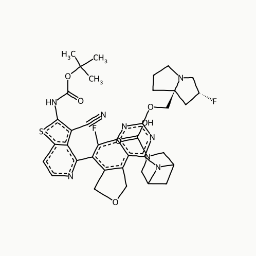 CC(C)(C)OC(=O)Nc1sc2ccnc(-c3c4c(c5c(N6C7CC6CN(C(=O)O)C7)nc(OC[C@@]67CCCN6C[C@H](F)C7)nc5c3F)COC4)c2c1C#N